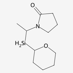 CC([SiH2]C1CCCCO1)N1CCCC1=O